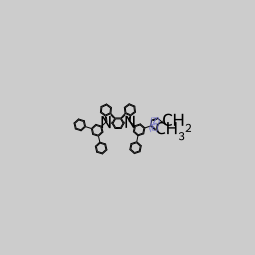 C=C/C=C\C(=C/C)c1cc(-c2ccccc2)cc(-n2c3ccccc3c3c4c5ccccc5n(-c5cc(-c6ccccc6)cc(-c6ccccc6)c5)c4ccc32)c1